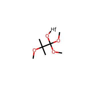 COC(C)(C)C(OC)(OC)[O][Hf]